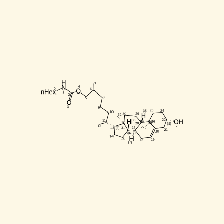 CCCCCCNC(=O)OCC(C)CCCC(C)[C@H]1CC[C@H]2[C@@H]3CC=C4C[C@@H](O)CC[C@]4(C)[C@H]3CC[C@]12C